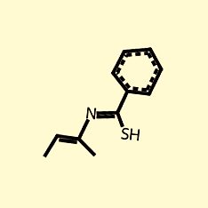 C/C=C(C)/N=C(\S)c1ccccc1